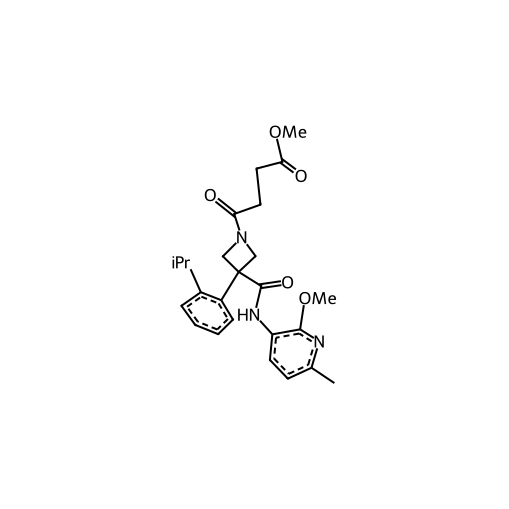 COC(=O)CCC(=O)N1CC(C(=O)Nc2ccc(C)nc2OC)(c2ccccc2C(C)C)C1